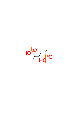 CC(CCC(C)[PH](=O)O)[PH](=O)O